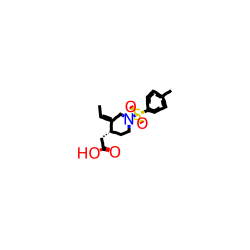 C/C=C1\CN(S(=O)(=O)c2ccc(C)cc2)CC[C@@H]1CC(=O)O